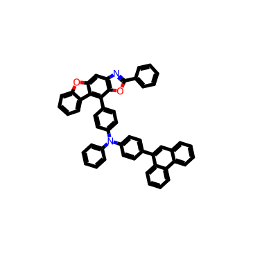 c1ccc(-c2nc3cc4oc5ccccc5c4c(-c4ccc(N(c5ccccc5)c5ccc(-c6cc7ccccc7c7ccccc67)cc5)cc4)c3o2)cc1